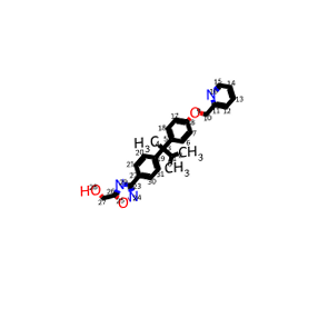 CC(C)C(C)(c1ccc(OCc2ccccn2)cc1)c1ccc(-c2noc(CO)n2)cc1